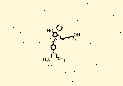 CCCN(CCC)c1ccc(CO[C@H]2C[C@@H](O)[C@H](N3CCOCC3)[C@H]2C/C=C\CCCC(=O)O)cc1